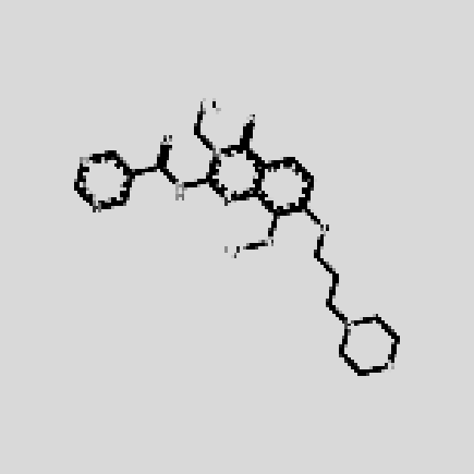 CCn1c(NC(=O)c2cncnc2)nc2c(OC)c(OCCCN3CCOCC3)ccc2c1=O